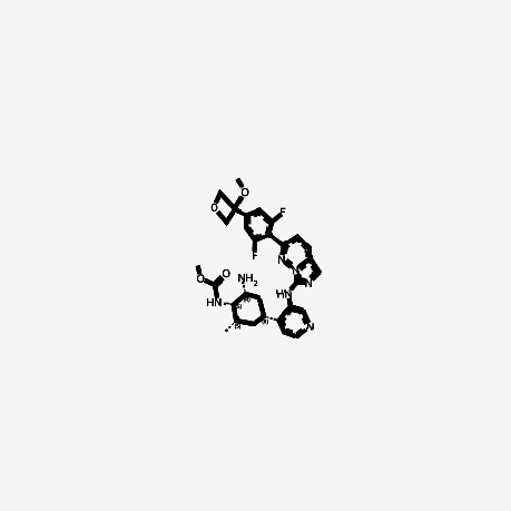 COC(=O)N[C@@H]1[C@H](N)C[C@H](c2ccncc2Nc2ncc3ccc(-c4c(F)cc(C5(OC)COC5)cc4F)nn23)C[C@@H]1C